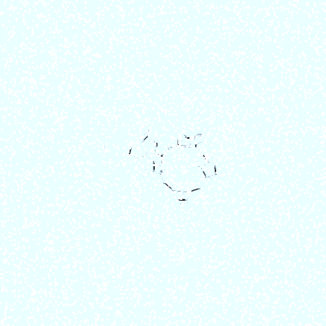 COC(=O)CCC1=C(Br)C2=NC1(CCC(=O)OC)C(C)C1(Br)NC(C)(/C=C3/C=CC(=N3)/C=c3/cc/c([nH]3)=C/2)C(Br)=C1C